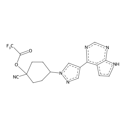 N#CC1(OC(=O)C(F)(F)F)CCC(n2cc(-c3ncnc4[nH]ccc34)cn2)CC1